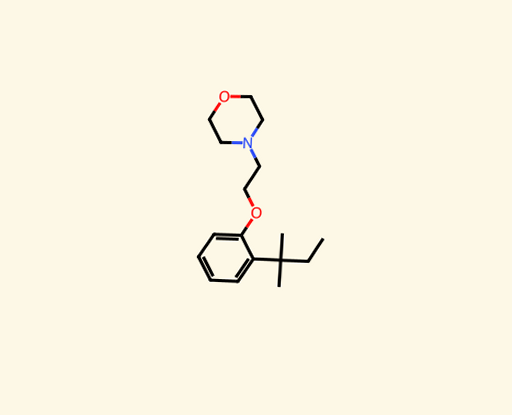 CCC(C)(C)c1ccccc1OCCN1CCOCC1